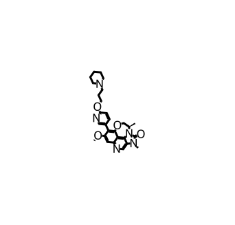 COc1cc2ncc3c4c2c(c1-c1ccc(OCCCN2CCCCC2)nc1)OC[C@@H](C)n4c(=O)n3C